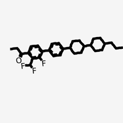 CCCC1CCC(C2CCC(c3ccc(-c4ccc(C(=O)CC)c(C(F)F)c4F)cc3)CC2)CC1